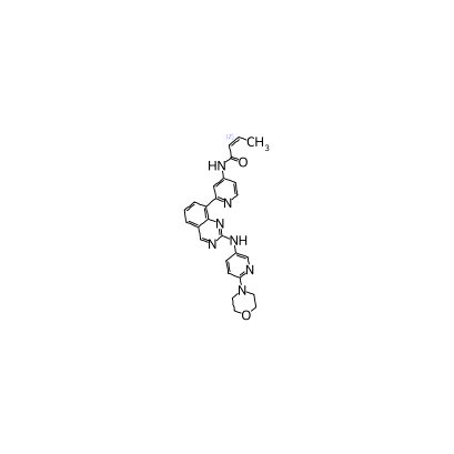 C/C=C\C(=O)Nc1ccnc(-c2cccc3cnc(Nc4ccc(N5CCOCC5)nc4)nc23)c1